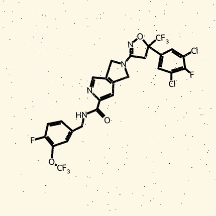 O=C(NCc1ccc(F)c(OC(F)(F)F)c1)c1cc2c(cn1)CN(C1=NOC(c3cc(Cl)c(F)c(Cl)c3)(C(F)(F)F)C1)C2